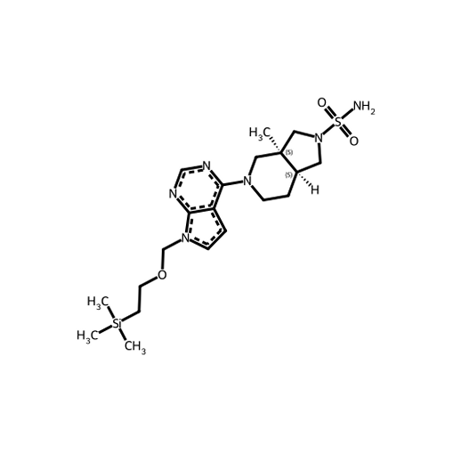 C[C@@]12CN(c3ncnc4c3ccn4COCC[Si](C)(C)C)CC[C@@H]1CN(S(N)(=O)=O)C2